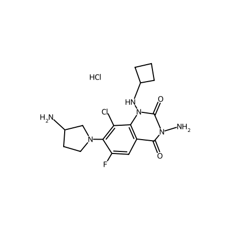 Cl.NC1CCN(c2c(F)cc3c(=O)n(N)c(=O)n(NC4CCC4)c3c2Cl)C1